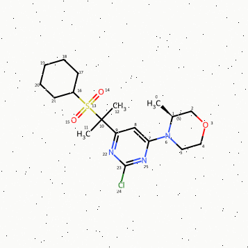 C[C@H]1COCCN1c1cc(C(C)(C)S(=O)(=O)C2CCCCC2)nc(Cl)n1